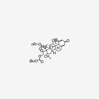 CCCOC(=O)O[C@]1(C(=O)COC(=O)OCC(C)C)[C@H](C)C[C@H]2[C@@H]3CCC4=CC(=O)C=C[C@]4(C)[C@@]3(Cl)C(O)C[C@@]21C